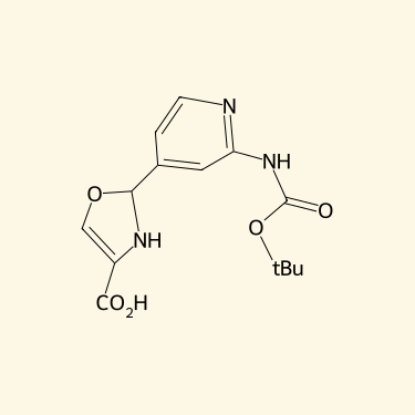 CC(C)(C)OC(=O)Nc1cc(C2NC(C(=O)O)=CO2)ccn1